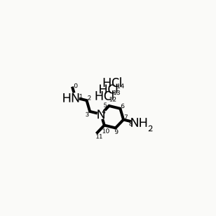 CNCCN1CCC(N)CC1C.Cl.Cl.Cl